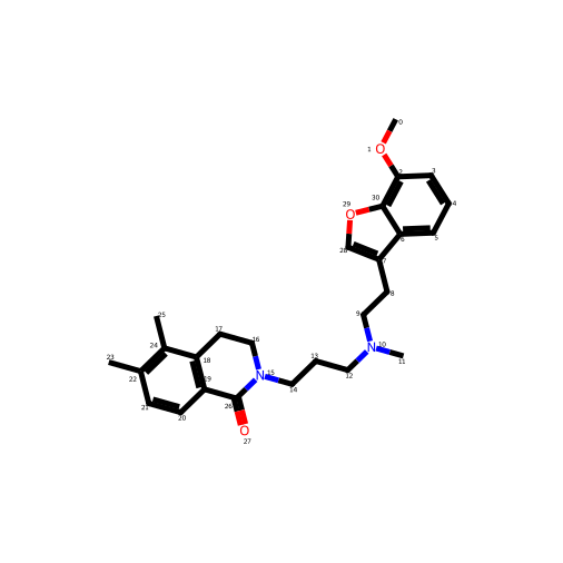 COc1cccc2c(CCN(C)CCCN3CCc4c(ccc(C)c4C)C3=O)coc12